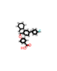 O=C(O)c1ccc(O[C@@H](CC2CCCCC2)c2ccc(-c3ccc(F)cc3)cc2)cc1